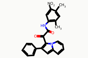 Cc1cc(C)c([N+](=O)[O-])cc1NC(=O)C(=O)c1c(-c2ccccc2)cc2ccccn12